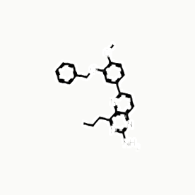 CCCc1nc(N)nc2ccc(-c3ccc(OC)c(OCc4ccccc4)c3)nc12